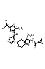 CCOC(=O)c1c(NC(=O)C2CC2)sc2c1C[C@@H](n1cnnc1Nc1cc(C(F)F)nn1C)CC2